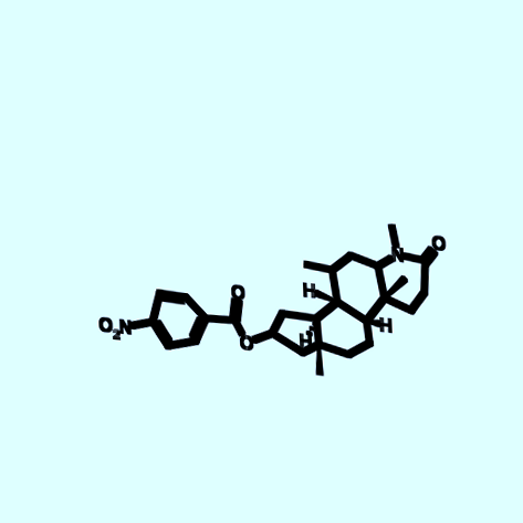 CC1CC2N(C)C(=O)CC[C@]2(C)[C@@H]2CC[C@]3(C)CC(OC(=O)c4ccc([N+](=O)[O-])cc4)C[C@H]3[C@H]12